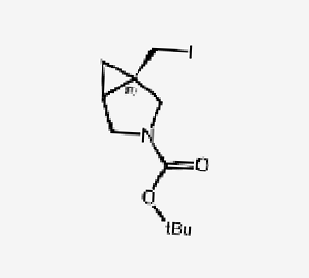 CC(C)(C)OC(=O)N1CC2C[C@]2(CI)C1